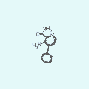 NC(=O)c1nccc(-c2ccccc2)c1N